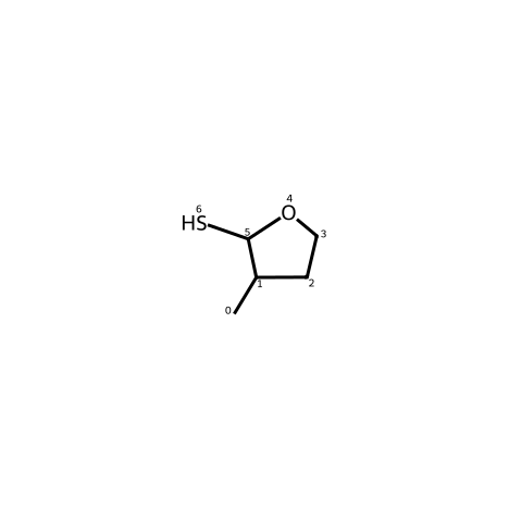 CC1CCOC1S